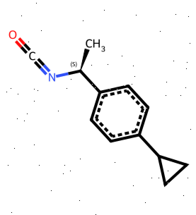 C[C@H](N=C=O)c1ccc(C2CC2)cc1